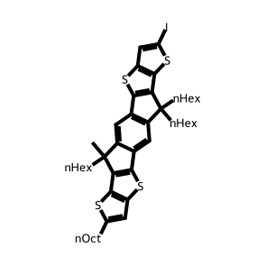 CCCCCCCCc1cc2sc3c(c2s1)C(C)(CCCCCC)c1cc2c(cc1-3)C(CCCCCC)(CCCCCC)c1c-2sc2cc(I)sc12